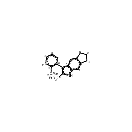 CCOC(=O)c1[nH]c2cc3c(cc2c1-c1cccnc1OC)CCC3